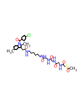 CC(=O)SCC(=O)NCC(=O)NCC(=O)NCC(=O)NCCCCCCNC(=O)Cc1c(C)n(C(=O)c2ccc(Cl)cc2)c2ccc(C)cc12